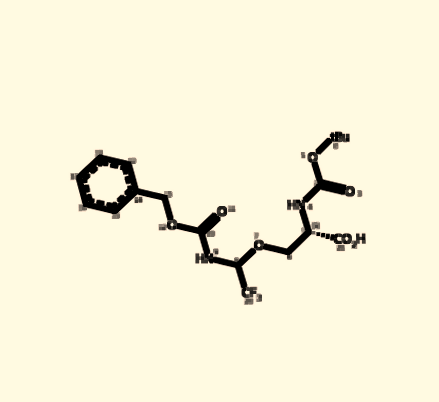 CC(C)(C)OC(=O)N[C@@H](COC(NC(=O)OCc1ccccc1)C(F)(F)F)C(=O)O